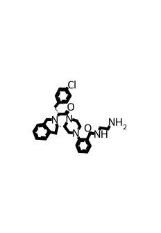 NCCNC(=O)c1ccccc1N1CCN(C(=O)[C@@H](Cc2ccc(Cl)cc2)N2[CH]Cc3ccccc3C2)CC1